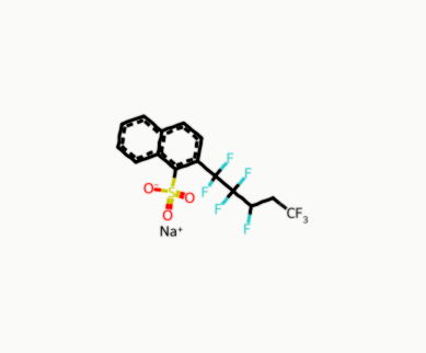 O=S(=O)([O-])c1c(C(F)(F)C(F)(F)C(F)CC(F)(F)F)ccc2ccccc12.[Na+]